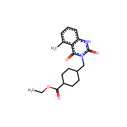 CCOC(=O)C1CCC(Cn2c(=O)[nH]c3cccc(C)c3c2=O)CC1